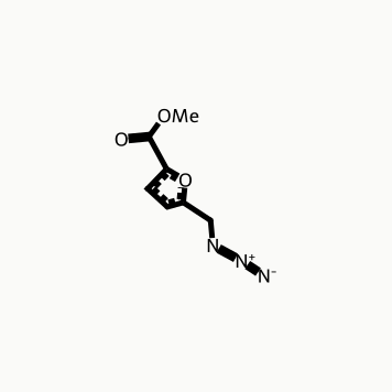 COC(=O)c1ccc(CN=[N+]=[N-])o1